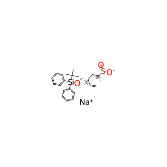 C=C[C@H](CO[Si](c1ccccc1)(c1ccccc1)C(C)(C)C)C[C@@H](C)S(=O)[O-].[Na+]